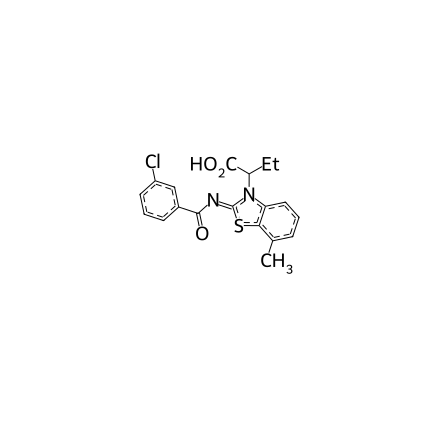 CCC(C(=O)O)n1c(=NC(=O)c2cccc(Cl)c2)sc2c(C)cccc21